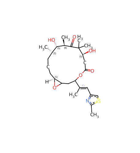 C/C(=C\c1csc(C)n1)C1CC2O[C@H]2CCC[C@H](C)[C@H](O)[C@@H](C)C(=O)C(C)(C)[C@@H](O)CC(=O)O1